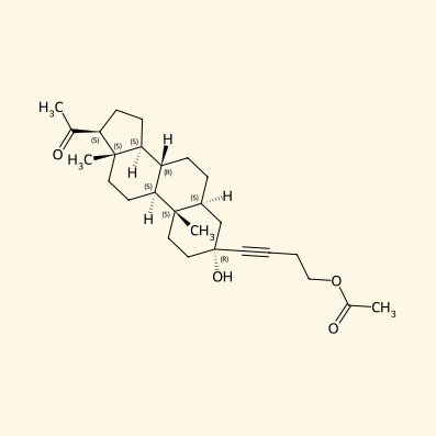 CC(=O)OCCC#C[C@@]1(O)CC[C@@]2(C)[C@@H](CC[C@@H]3[C@@H]2CC[C@]2(C)[C@@H](C(C)=O)CC[C@@H]32)C1